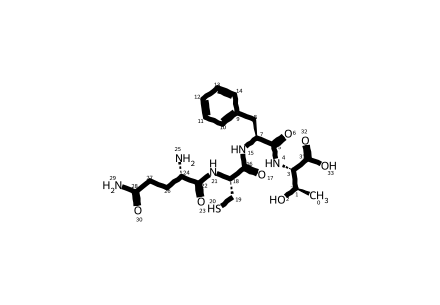 C[C@@H](O)[C@H](NC(=O)[C@H](Cc1ccccc1)NC(=O)[C@H](CS)NC(=O)[C@@H](N)CCC(N)=O)C(=O)O